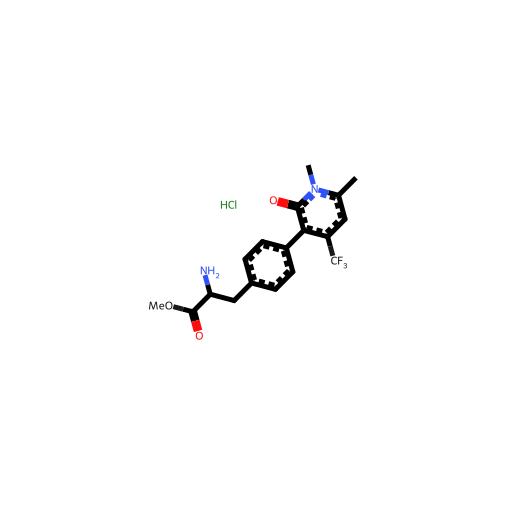 COC(=O)C(N)Cc1ccc(-c2c(C(F)(F)F)cc(C)n(C)c2=O)cc1.Cl